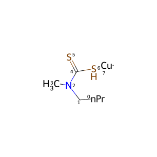 CCCCN(C)C(=S)S.[Cu]